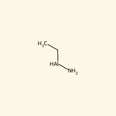 C[CH2][AlH][NH2]